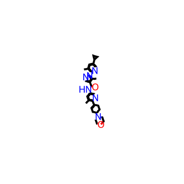 Cc1cc(NC(=O)c2cnn(-c3ncc(C4CC4)cc3C)c2C)cnc1C1=CCC(N2CCOCC2)CC1